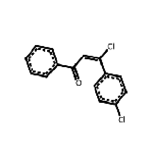 O=C(/C=C(/Cl)c1ccc(Cl)cc1)c1ccccc1